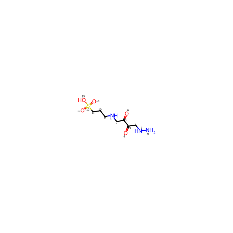 NNCC(=O)C(=O)CNCCCS(=O)(=O)O